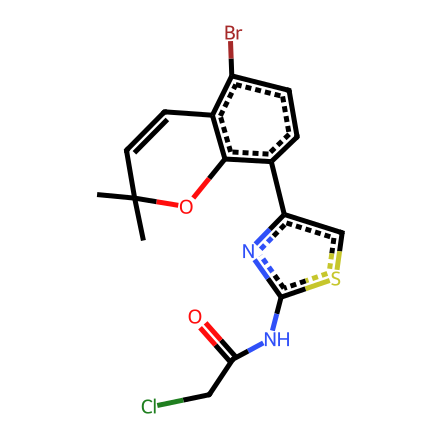 CC1(C)C=Cc2c(Br)ccc(-c3csc(NC(=O)CCl)n3)c2O1